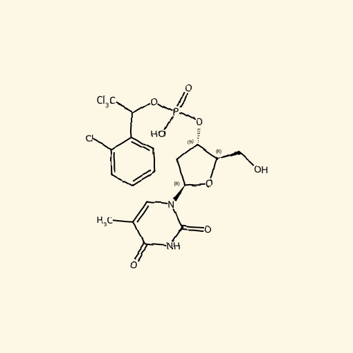 Cc1cn([C@H]2C[C@H](OP(=O)(O)OC(c3ccccc3Cl)C(Cl)(Cl)Cl)[C@@H](CO)O2)c(=O)[nH]c1=O